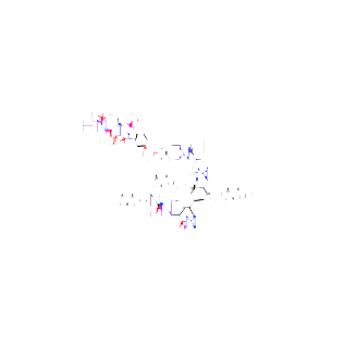 CNC(=O)N1CCc2c(-c3cc(OC)c(CN4CCC(C(N5CCC6(CC5)CC(Oc5ccc7c(c5)C(=O)N(C5CCC(=O)NC5=O)C7=O)C6)C(F)(F)F)CC4)c(OC)c3)cn(C)c(=O)c2C1